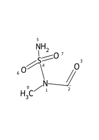 CN([C]=O)S(N)(=O)=O